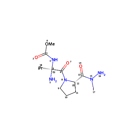 COC(=O)N[C@](N)(C(=O)N1CCC[C@H]1C(=O)N(N)I)C(C)C